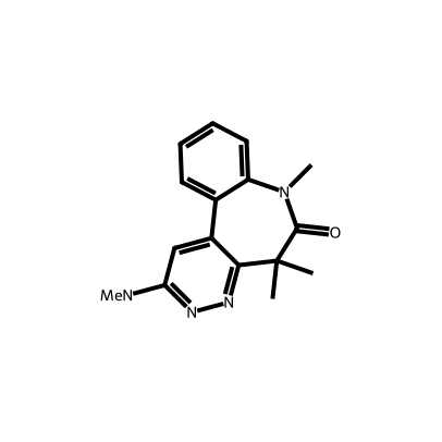 CNc1cc2c(nn1)C(C)(C)C(=O)N(C)c1ccccc1-2